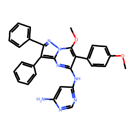 COc1ccc(-c2c(Nc3cc(N)ncn3)nc3c(-c4ccccc4)c(-c4ccccc4)nn3c2OC)cc1